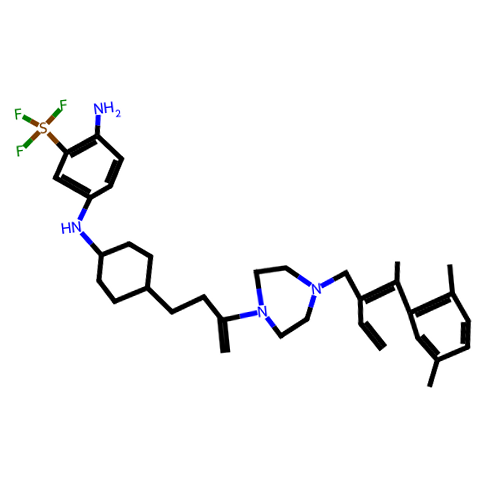 C=C/C(CN1CCN(C(=C)CCC2CCC(Nc3ccc(N)c(S(F)(F)F)c3)CC2)CC1)=C(/C)c1cc(C)ccc1C